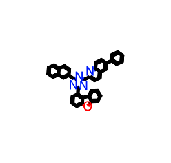 c1ccc(-c2ccc3nc(-c4nc(-c5ccc6ccccc6c5)nc(-c5cccc6oc7ccccc7c56)n4)ccc3c2)cc1